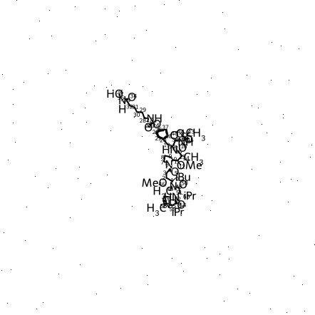 CC[C@H](C)[C@@H]([C@@H](CC(=O)N1CCC[C@H]1[C@H](OC)[C@@H](C)C(=O)N[C@@H](Cc1ccc(OC(=O)NCCCCCC(=O)NO)cc1)C(=O)NS(C)(=O)=O)OC)N(C)C(=O)[C@@H](NC(=O)[C@H](C(C)C)N(C)C)C(C)C